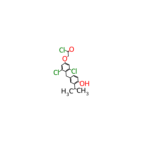 CC(C)c1cc(Cc2c(Cl)cc(OCC(=O)Cl)cc2Cl)ccc1O